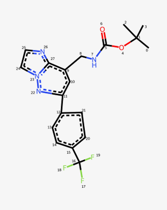 CC(C)(C)OC(=O)NCc1cc(-c2ccc(C(F)(F)F)cc2)nn2ccnc12